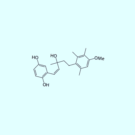 COc1cc(C)c(CCC(C)(O)/C=C\c2cc(O)ccc2O)c(C)c1C